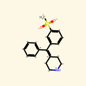 CS(=O)(=O)c1cccc(C(=C2CCNCC2)c2ccccc2)c1